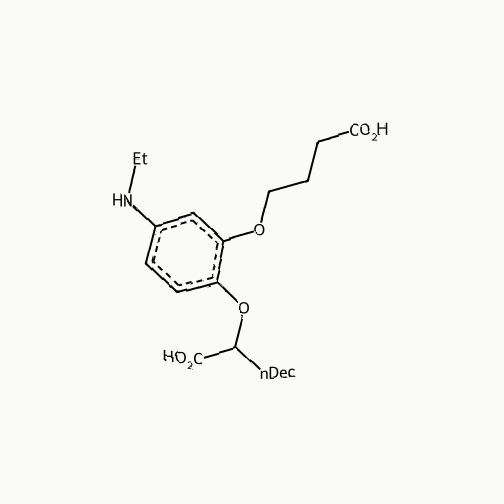 CCCCCCCCCCC(Oc1ccc(NCC)cc1OCCCC(=O)O)C(=O)O